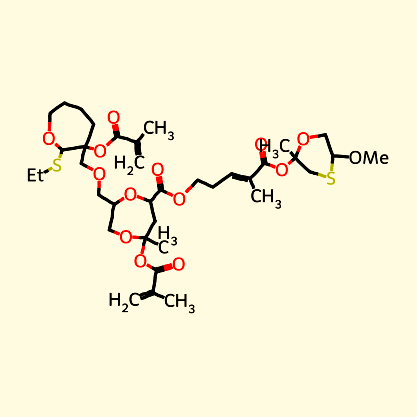 C=C(C)C(=O)OC1(C)CC(C(=O)OCC/C=C(\C)C(=O)OC2(C)CSC(OC)CO2)OC(COCC2(OC(=O)C(=C)C)CCCCOC2SCC)CO1